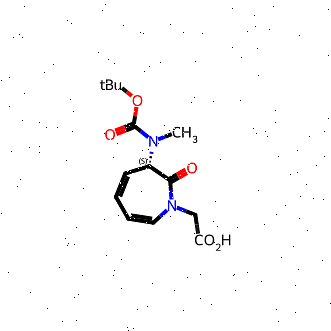 CN(C(=O)OC(C)(C)C)[C@H]1C=CC=CN(CC(=O)O)C1=O